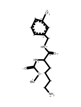 CC(C)(C)OC(=O)NC(CCCCN)C(=O)NCc1cccc(C(F)(F)F)c1